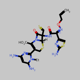 C=CCO/N=C(\C(=O)NC1(C=S)C(=O)N2C(C(=O)O)=C(C3=NC(N)=CC(N)N3CC)CS[C@H]21)c1csc(N)n1